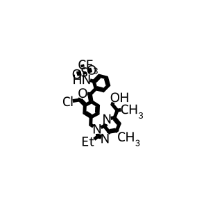 CCc1nc2c(C)cc(C(C)CO)nc2n1Cc1ccc2c(-c3ccccc3NS(=O)(=O)C(F)(F)F)oc(Cl)c2c1